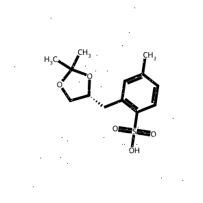 Cc1ccc(S(=O)(=O)O)c(C[C@@H]2COC(C)(C)O2)c1